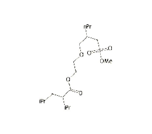 CCCC(COCCOC(=O)C(CC(C)C)C(C)C)CS(=O)(=O)OC